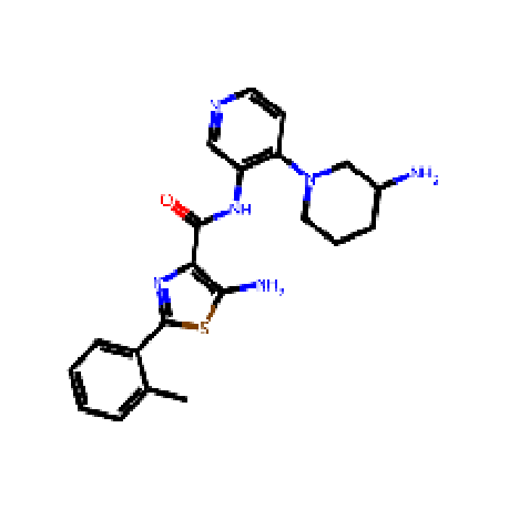 Cc1ccccc1-c1nc(C(=O)Nc2cnccc2N2CCCC(N)C2)c(N)s1